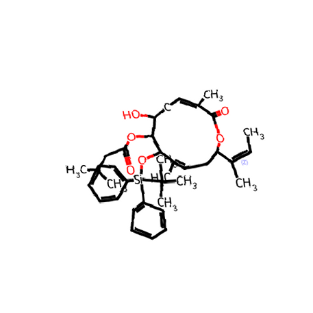 C/C=C(/C)C1CC=C(C)C(O[Si](c2ccccc2)(c2ccccc2)C(C)(C)C)C(OC(=O)CC(C)C)C(O)CC=C(C)C(=O)O1